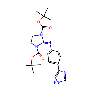 CC(C)(C)OC(=O)N1CCN(C(=O)OC(C)(C)C)C1=Nc1ccc(-c2c[nH]cn2)cc1